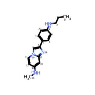 CCCNc1ccc(-c2cn3ccc(NC)cc3n2)cc1